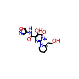 Cn1c(N2CCCC[C@@H]2CCO)nc(C(=O)Nc2cnoc2)c(O)c1=O